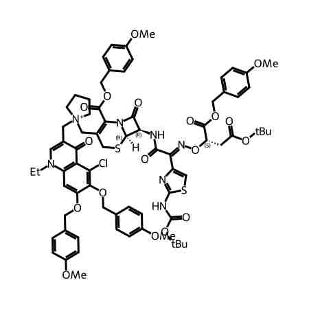 CCn1cc(C[N+]2(CC3=C(C(=O)OCc4ccc(OC)cc4)N4C(=O)[C@@H](NC(=O)C(=NO[C@@H](CC(=O)OC(C)(C)C)C(=O)OCc5ccc(OC)cc5)c5csc(NC(=O)OC(C)(C)C)n5)[C@H]4SC3)CCCC2)c(=O)c2c(Cl)c(OCc3ccc(OC)cc3)c(OCc3ccc(OC)cc3)cc21